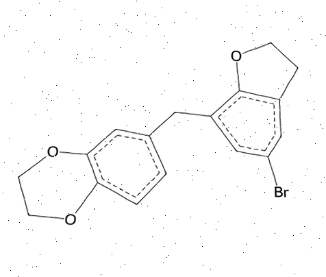 Brc1cc2c(c(Cc3ccc4c(c3)OCCO4)c1)OCC2